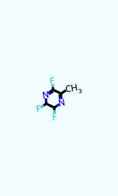 CC1=NC(F)C(F)N=C1F